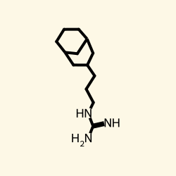 N=C(N)NCCCC1CC2CCCC(C1)C2